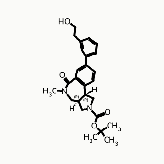 CN1C[C@@H]2CN(C(=O)OC(C)(C)C)C[C@H]2c2ccc(-c3cccc(CCO)c3)cc2C1=O